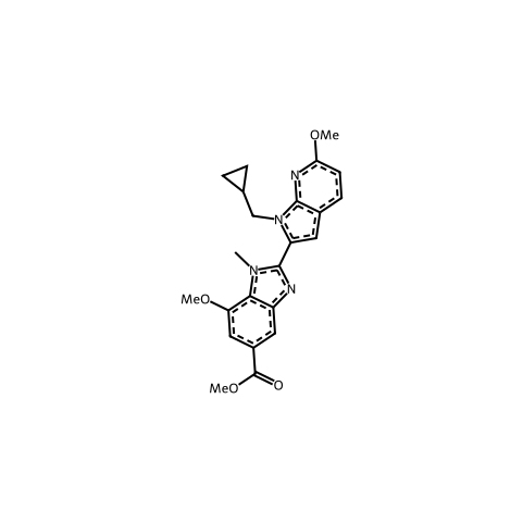 COC(=O)c1cc(OC)c2c(c1)nc(-c1cc3ccc(OC)nc3n1CC1CC1)n2C